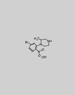 C[C@H]1CNCCN1c1cc(Br)cnc1[N+](=O)[O-].Cl